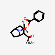 [2H]C([2H])N1C2CCC1C(C(=O)OC)C(OC(=O)c1ccccc1)C2